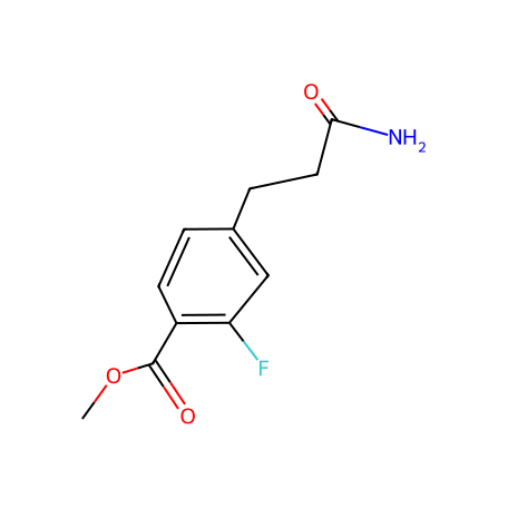 COC(=O)c1ccc(CCC(N)=O)cc1F